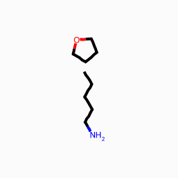 C1CCOC1.CCCCCN